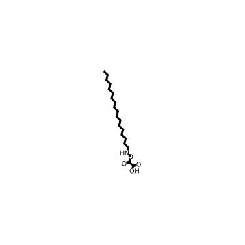 CCCCCCCCCCCCCCCCCCNOC(=O)C(=O)O